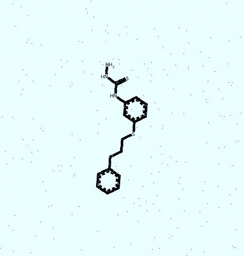 NNC(=S)Nc1cccc(SCCCc2ccccc2)c1